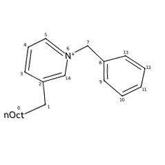 CCCCCCCCCc1ccc[n+](Cc2ccccc2)c1